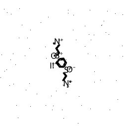 C[N+](C)(C)CCC[S+]([O-])c1ccc([S+]([O-])CCC[N+](C)(C)C)cc1.[I-].[I-]